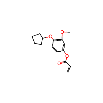 C=CC(=O)Oc1ccc(OC2CCCC2)c(OC)c1